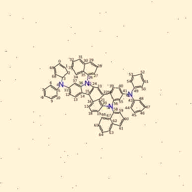 C1=CCC(N(c2ccccc2)c2ccc3c4c5cccc6c5c(cc4n(-c4cccc5ccccc45)c3c2)-c2ccc(N(c3ccccc3)c3ccccc3)cc2N6c2cccc3ccccc23)C=C1